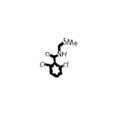 CSCNC(=O)c1c(Cl)cccc1Cl